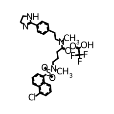 CN(CCc1ccc(C2=NCCN2)cc1)C(=O)CCCN(C)S(=O)(=O)c1cccc2c(Cl)cccc12.O=C(O)C(F)(F)F